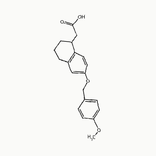 COc1ccc(COc2ccc3c(c2)CCCC3CC(=O)O)cc1